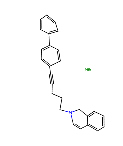 Br.C(#Cc1ccc(-c2ccccc2)cc1)CCCN1C=Cc2ccccc2C1